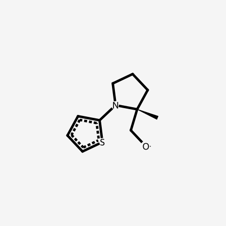 C[C@]1(C[O])CCCN1c1cccs1